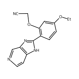 CCOc1ccc(-c2nc3cnccc3[nH]2)c(OCC#N)c1